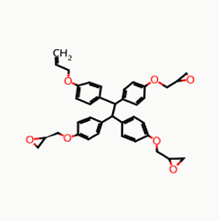 C=CCOc1ccc(C(c2ccc(OCC3CO3)cc2)C(c2ccc(OCC3CO3)cc2)c2ccc(OC[C@H]3CO3)cc2)cc1